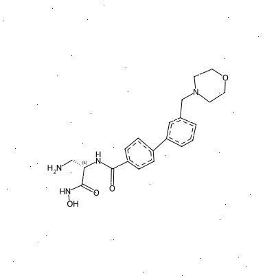 NC[C@H](NC(=O)c1ccc(-c2cccc(CN3CCOCC3)c2)cc1)C(=O)NO